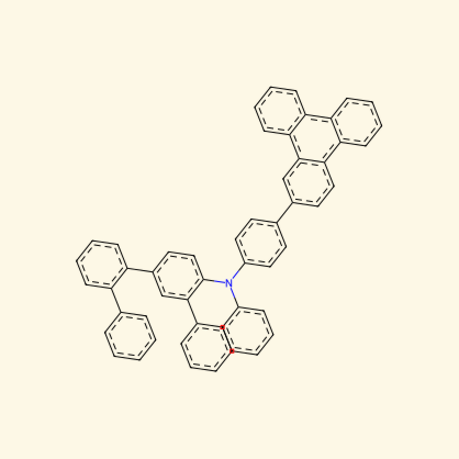 c1ccc(-c2ccccc2-c2ccc(N(c3ccccc3)c3ccc(-c4ccc5c6ccccc6c6ccccc6c5c4)cc3)c(-c3ccccc3)c2)cc1